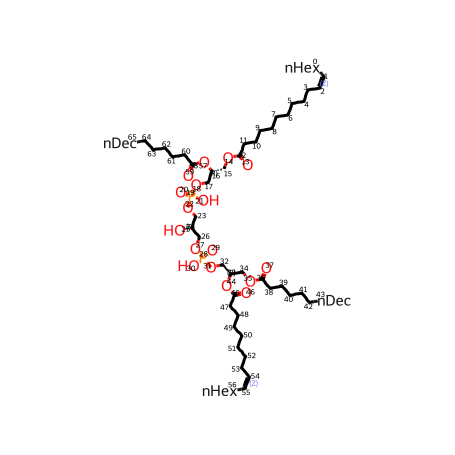 CCCCCC/C=C\CCCCCCCCCC(=O)OC[C@H](COP(=O)(O)OC[C@@H](O)COP(=O)(O)OC[C@@H](COC(=O)CCCCCCCCCCCCCCC)OC(=O)CCCCCCC/C=C\CCCCCC)OC(=O)CCCCCCCCCCCCCCC